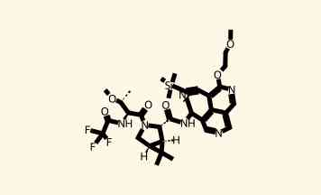 COCCOc1ncc2cncc(C(C#N)NC(=O)[C@@H]3[C@@H]4[C@H](CN3C(=O)[C@@H](NC(=O)C(F)(F)F)[C@@H](C)OC)C4(C)C)c2c1C#C[Si](C)(C)C